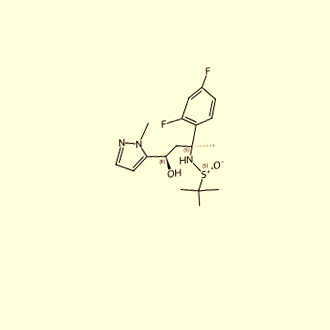 Cn1nccc1[C@H](O)C[C@](C)(N[S@+]([O-])C(C)(C)C)c1ccc(F)cc1F